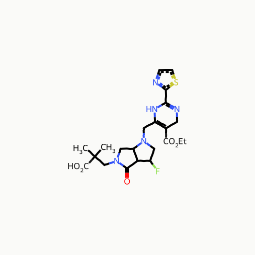 CCOC(=O)C1=C(CN2CC(F)C3C(=O)N(CC(C)(C)C(=O)O)CC32)NC(c2nccs2)=NC1